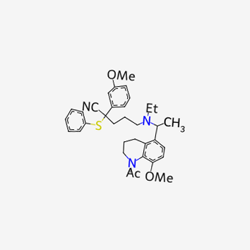 CCN(CCCC(C#N)(Sc1ccccc1)c1cccc(OC)c1)C(C)c1ccc(OC)c2c1CCCN2C(C)=O